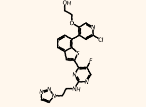 OCCOc1cnc(Cl)cc1-c1cccc2cc(-c3nc(NCCn4ccnn4)ncc3F)sc12